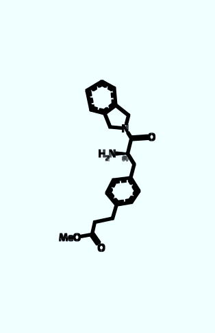 COC(=O)CCc1ccc(C[C@@H](N)C(=O)N2Cc3ccccc3C2)cc1